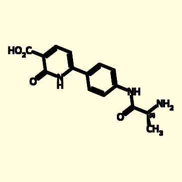 C[C@H](N)C(=O)Nc1ccc(-c2ccc(C(=O)O)c(=O)[nH]2)cc1